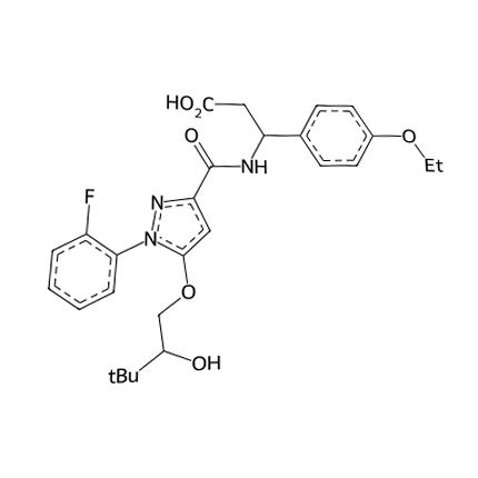 CCOc1ccc(C(CC(=O)O)NC(=O)c2cc(OCC(O)C(C)(C)C)n(-c3ccccc3F)n2)cc1